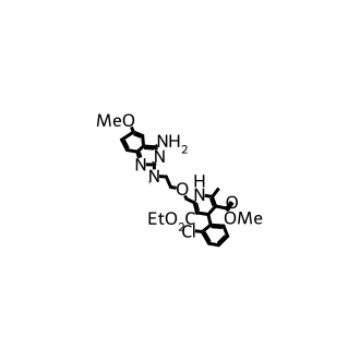 CCOC(=O)C1=C(COCCN(C)c2nc(N)c3cc(OC)ccc3n2)NC(C)=C(C(=O)OC)C1c1ccccc1Cl